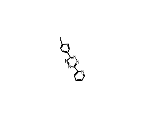 Ic1ccc(-c2nnc(-c3ccccn3)nn2)cc1